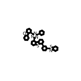 c1ccc(-c2nc(-c3cccc4oc5ccccc5c34)nc(-c3cccc4sc5c(-c6cccc(-c7nc8ccccc8s7)c6)cccc5c34)n2)cc1